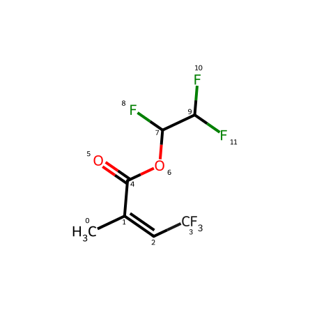 CC(=CC(F)(F)F)C(=O)OC(F)C(F)F